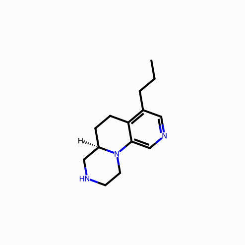 CCCc1cncc2c1CC[C@@H]1CNCCN21